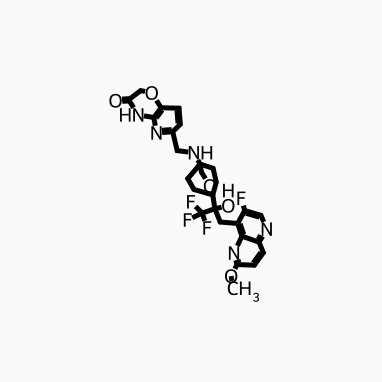 COc1ccc2ncc(F)c(CC(O)(C(F)(F)F)C34CCC(NCc5ccc6c(n5)NC(=O)CO6)(CC3)CO4)c2n1